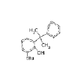 CC(C)(C)c1cccc(C(C)(C)c2ccccc2)c1O